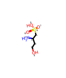 NC(CCO)CS(=O)(=O)O